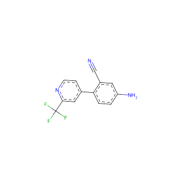 N#Cc1cc(N)ccc1-c1ccnc(C(F)(F)F)c1